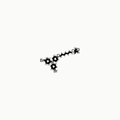 CC1(OCCCCCCCOc2ccc(N(c3ccc(Br)cc3)c3ccc(Br)cc3)cc2)COC1